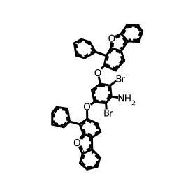 Nc1c(Br)c(Oc2ccc3c(oc4ccccc43)c2-c2ccccc2)cc(Oc2ccc3c(oc4ccccc43)c2-c2ccccc2)c1Br